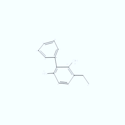 CCc1ccc(S)c(-c2ccccc2)c1O